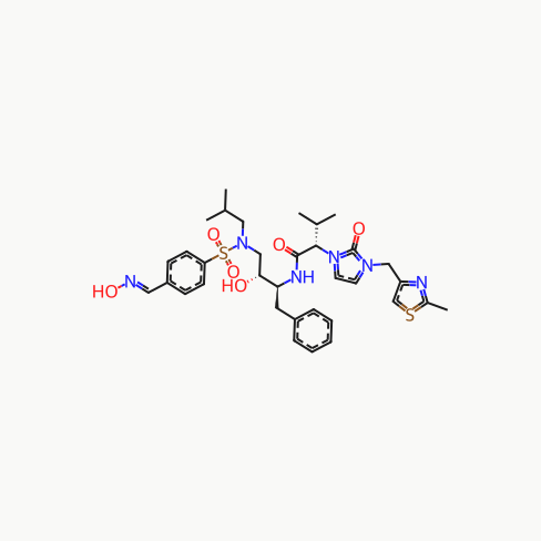 Cc1nc(Cn2ccn([C@H](C(=O)N[C@@H](Cc3ccccc3)[C@H](O)CN(CC(C)C)S(=O)(=O)c3ccc(C=NO)cc3)C(C)C)c2=O)cs1